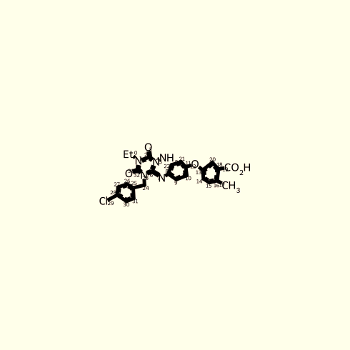 CCn1c(=O)n(N)/c(=N\c2ccc(Oc3ccc(C)c(C(=O)O)c3)cc2)n(Cc2ccc(Cl)cc2)c1=O